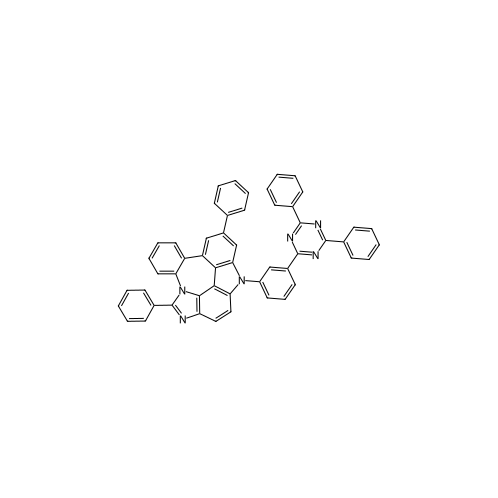 c1ccc(-c2cc3c4ccccc4n4c(-c5ccccc5)nc5ccc6c(c3c(c2)n6-c2cccc(-c3nc(-c6ccccc6)nc(-c6ccccc6)n3)c2)c54)cc1